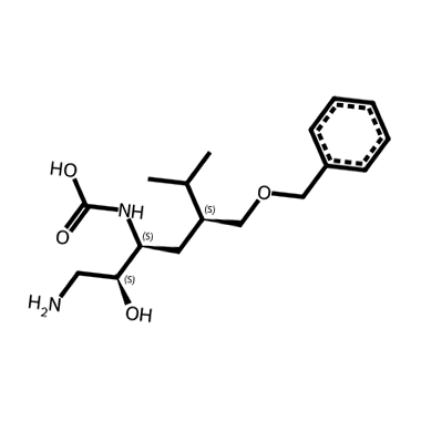 CC(C)[C@@H](COCc1ccccc1)C[C@H](NC(=O)O)[C@@H](O)CN